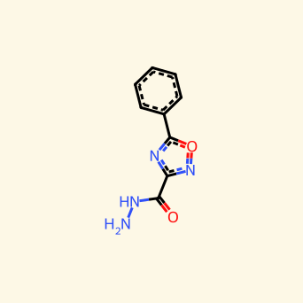 NNC(=O)c1noc(-c2ccccc2)n1